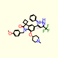 COc1ccc(CN2C(=O)C3(CCC3)c3cc(/C(=C/C(=N)C(F)(F)F)Nc4ccccc4)cc(OC4CCN(C)CC4)c32)cc1